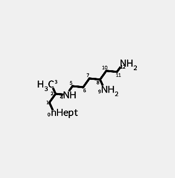 CCCCCCCCC(C)NCCCC(N)CCN